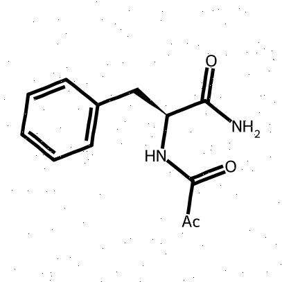 CC(=O)C(=O)N[C@@H](Cc1ccccc1)C(N)=O